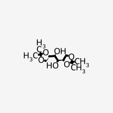 CC1(C)OC[C@@H]([C@H](O)C(O)[C@H]2COC(C)(C)O2)O1